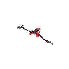 CCCCCCCCCCCCCC(=O)OCCCN(CCCOC(=O)CCCCCCCCCCCCC)C(=O)C[N+](C)(C)CCO